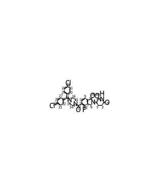 O=C1CCC(N2Cc3c(ccc(C(=O)N4CCN(C(c5ccc(Cl)cc5)c5ccc(Cl)cc5)CC4)c3F)C2=O)C(=O)N1